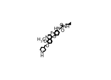 COc1c(OCC2CCNCC2)ccc2c(Oc3ccc(NC(=O)C(=O)NCC4CC4)cc3F)ccnc12